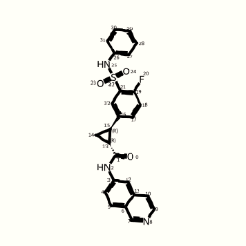 O=C(Nc1ccc2cnccc2c1)[C@@H]1C[C@H]1c1ccc(F)c(S(=O)(=O)Nc2ccccc2)c1